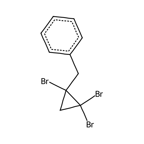 BrC1(Br)CC1(Br)Cc1ccccc1